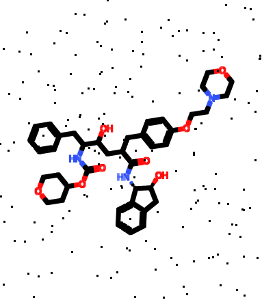 O=C(NC(Cc1ccccc1)C(O)CC(Cc1ccc(OCCN2CCOCC2)cc1)C(=O)N[C@H]1c2ccccc2C[C@@H]1O)OC1CCOCC1